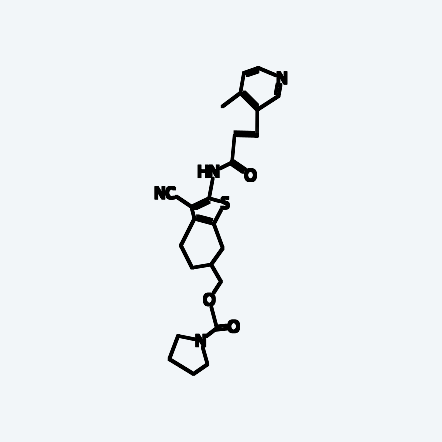 Cc1ccncc1C=CC(=O)Nc1sc2c(c1C#N)CCC(COC(=O)N1CCCC1)C2